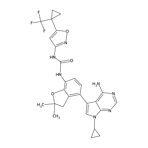 CC1(C)Cc2c(-c3cn(C4CC4)c4ncnc(N)c34)ccc(NC(=O)Nc3cc(C4(C(F)(F)F)CC4)on3)c2O1